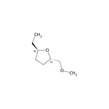 CC[C@@H]1CC[C@@H](COC)O1